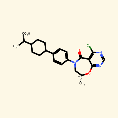 CC(C(=O)O)C1CCC(c2ccc(N3C[C@@H](C)Oc4ncnc(Cl)c4C3=O)cc2)CC1